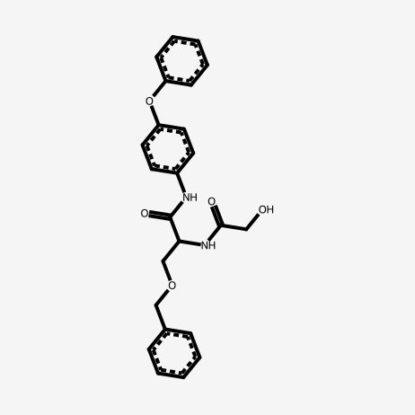 O=C(CO)NC(COCc1ccccc1)C(=O)Nc1ccc(Oc2ccccc2)cc1